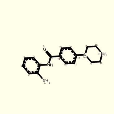 Nc1ccccc1NC(=O)c1ccc(N2CCNCC2)cc1